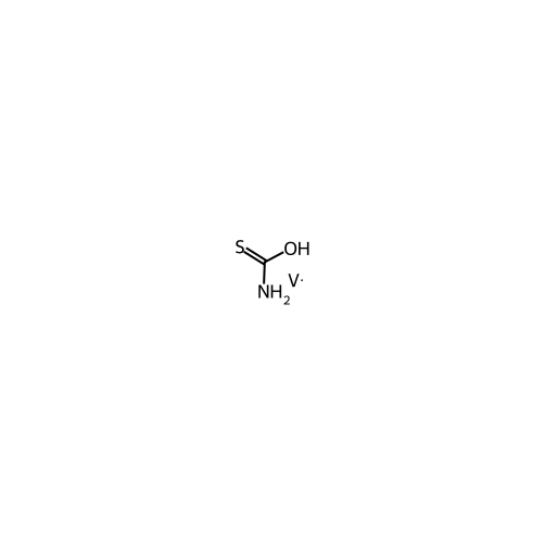 NC(O)=S.[V]